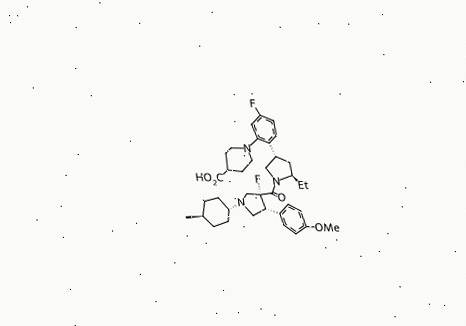 CC[C@@H]1C[C@@H](c2ccc(F)cc2N2CCC(C(=O)O)CC2)CN1C(=O)[C@]1(F)CN([C@H]2CC[C@H](C)CC2)C[C@H]1c1ccc(OC)cc1